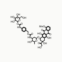 COc1cccc2c1C(=O)c1c(O)c3c(c(O)c1C2=O)C[C@@](O)(C(=O)CO)C[C@@H]3OC1CC(NC(=O)OCc2ccc(NC(=O)O[C@@H]3O[C@H](CO)[C@H](O)[C@H](O)[C@H]3O)cc2)C(O)C(C)O1